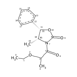 CCOC(C)C(=O)N1C(=O)O[C@@H](c2ccccc2)[C@H]1C